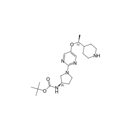 C[C@H](Oc1cnc(N2CC[C@@H](NC(=O)OC(C)(C)C)C2)nc1)C1CCNCC1